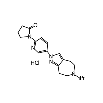 CC(C)N1CCc2cn(-c3ccc(N4CCCC4=O)nc3)nc2CC1.Cl